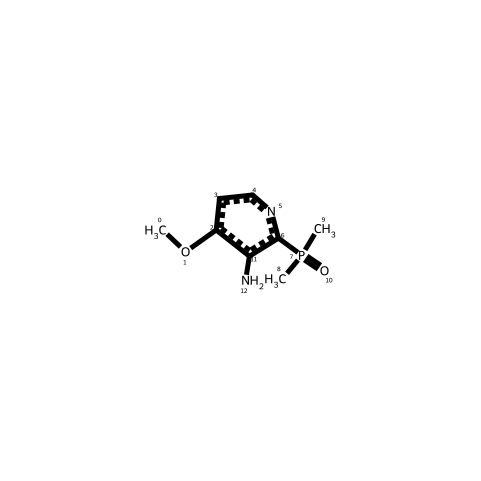 COc1ccnc(P(C)(C)=O)c1N